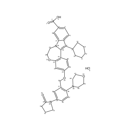 Cl.O=C(O)c1ccc2c(C3CCCCC3)c3n(c2c1)CCOc1cc(OCc2cc(N4CCCC4=O)ccc2N2CCOCC2)ccc1-3